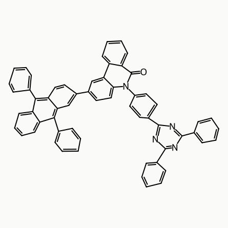 O=c1c2ccccc2c2cc(-c3ccc4c(-c5ccccc5)c5ccccc5c(-c5ccccc5)c4c3)ccc2n1-c1ccc(-c2nc(-c3ccccc3)nc(-c3ccccc3)n2)cc1